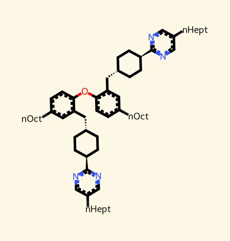 CCCCCCCCc1ccc(Oc2ccc(CCCCCCCC)cc2C[C@H]2CC[C@H](c3ncc(CCCCCCC)cn3)CC2)c(C[C@H]2CC[C@H](c3ncc(CCCCCCC)cn3)CC2)c1